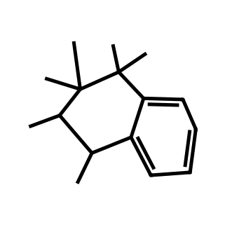 CC1c2ccccc2C(C)(C)C(C)(C)C1C